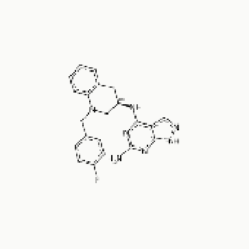 Nc1nc(N[C@@H]2Cc3ccccc3N(Cc3ccc(F)cc3)C2)c2cn[nH]c2n1